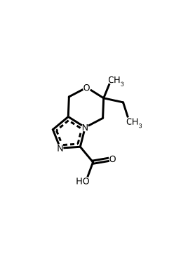 CCC1(C)Cn2c(cnc2C(=O)O)CO1